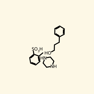 C1CNCCN1.Cc1ccccc1S(=O)(=O)O.OCCCc1ccccc1